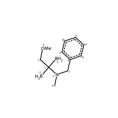 BC(B)(COC)N(C)Cc1ccccc1